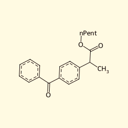 CCCCCOC(=O)C(C)c1ccc(C(=O)c2ccccc2)cc1